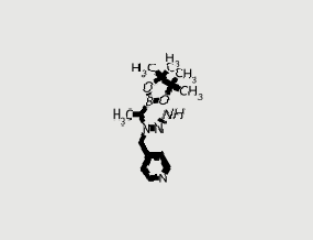 CC(B1OC(C)(C)C(C)(C)O1)N(Cc1ccncc1)N=N